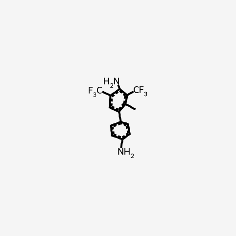 Cc1c(-c2ccc(N)cc2)cc(C(F)(F)F)c(N)c1C(F)(F)F